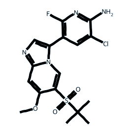 COc1cc2ncc(-c3cc(Cl)c(N)nc3F)n2cc1S(=O)(=O)C(C)(C)C